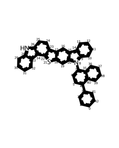 c1ccc(-c2ccc(-n3c4ccccc4c4cc5c(cc43)sc3c5ccc4[nH]c5ccccc5c43)c3ccccc23)cc1